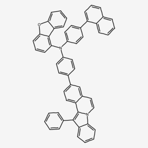 c1ccc(-c2c3ccccc3n3ccc4cc(-c5ccc(N(c6ccc(-c7cccc8ccccc78)cc6)c6cccc7oc8ccccc8c67)cc5)ccc4c23)cc1